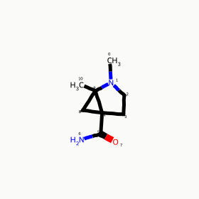 CN1CCC2(C(N)=O)CC12C